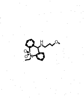 CCN1c2ccccc2C(NCCCOC)c2ccccc2S1(=O)=O